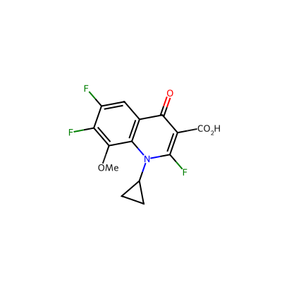 COc1c(F)c(F)cc2c(=O)c(C(=O)O)c(F)n(C3CC3)c12